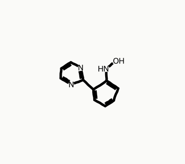 ONc1ccccc1-c1ncccn1